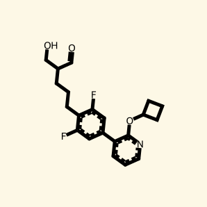 O=CC(CO)CCCc1c(F)cc(-c2cccnc2OC2CCC2)cc1F